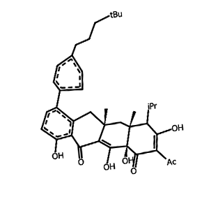 CC(=O)C1=C(O)C(C(C)C)[C@@]2(C)C[C@@]3(C)Cc4c(-c5ccc(CCCC(C)(C)C)cc5)ccc(O)c4C(=O)C3=C(O)[C@@]2(O)C1=O